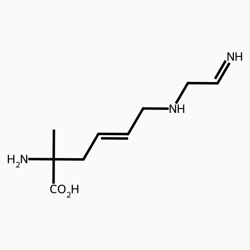 CC(N)(CC=CCNCC=N)C(=O)O